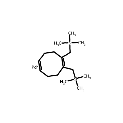 C[Si](C)(C)CC1=C(C[Si](C)(C)C)CCC=CCC1.[Pd+2]